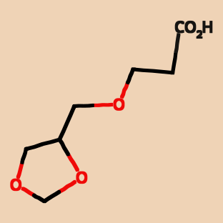 O=C(O)CCOCC1COCO1